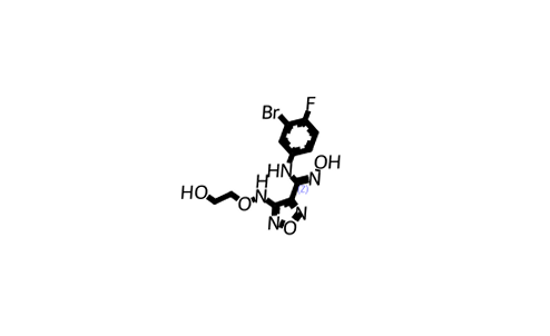 OCCONc1nonc1/C(=N/O)Nc1ccc(F)c(Br)c1